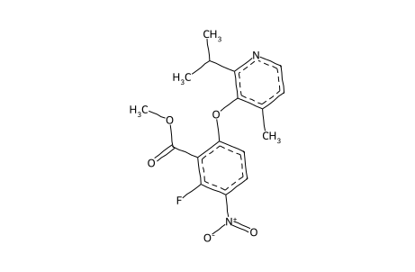 COC(=O)c1c(Oc2c(C)ccnc2C(C)C)ccc([N+](=O)[O-])c1F